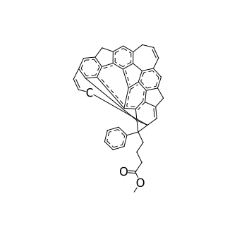 COC(=O)CCCC1(c2ccccc2)C23C=C4Cc5cc6c7c8c5c4c4c5c9c(c(cc%10c9c9c(cc(c-7c9c85)CC=C6)C%10)C=CC2)C431